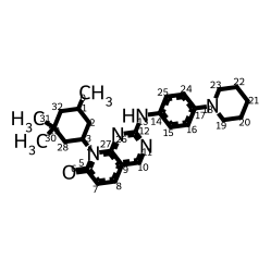 CC1CC(n2c(=O)ccc3cnc(Nc4ccc(N5CCCCC5)cc4)nc32)CC(C)(C)C1